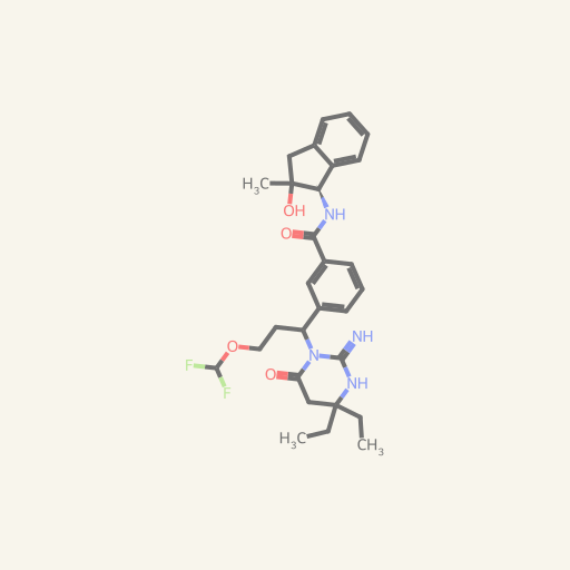 CCC1(CC)CC(=O)N(C(CCOC(F)F)c2cccc(C(=O)N[C@@H]3c4ccccc4CC3(C)O)c2)C(=N)N1